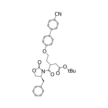 CC(C)(C)OC(=O)CC(CCOc1ccc(-c2ccc(C#N)cc2)cc1)C(=O)N1C(=O)OC[C@@H]1Cc1ccccc1